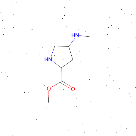 CNC1CNC(C(=O)OC)C1